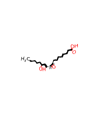 CCCCCC(O)C=C[C@H]1O[C@@H]1CCCCCCCC(=O)O